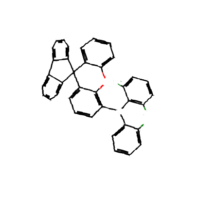 Fc1ccccc1B(c1cccc2c1Oc1ccccc1C21c2ccccc2-c2ccccc21)c1c(F)cccc1F